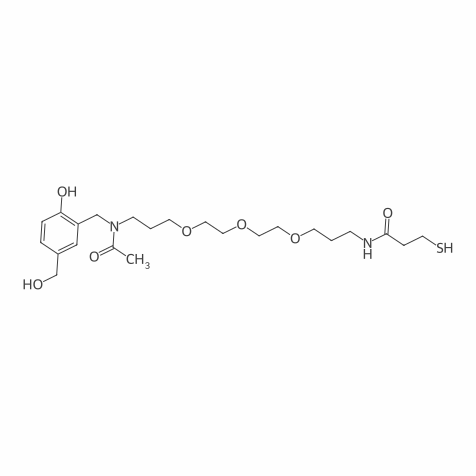 CC(=O)N(CCCOCCOCCOCCCNC(=O)CCS)Cc1cc(CO)ccc1O